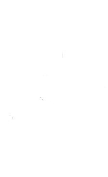 O=[N+]([O-])c1ccc(Oc2c(Cl)cc(C(F)(F)F)c(F)c2Cl)nc1Cl